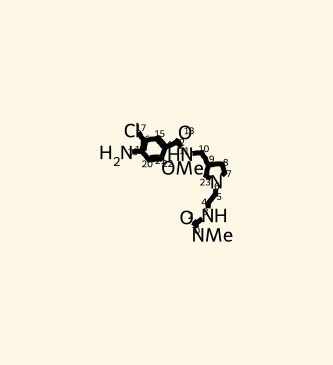 CNC(=O)NCCN1CCC(CNC(=O)c2cc(Cl)c(N)cc2OC)C1